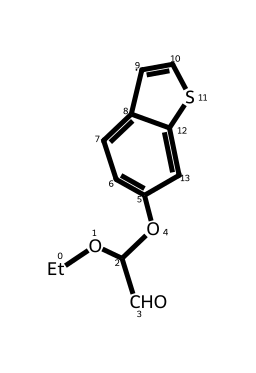 CCOC(C=O)Oc1ccc2[c]csc2c1